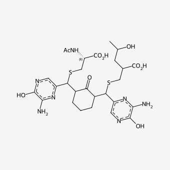 CC(=O)N[C@@H](CSC(c1cnc(O)c(N)n1)C1CCCC(C(SCC(CC(C)O)C(=O)O)c2cnc(O)c(N)n2)C1=O)C(=O)O